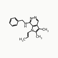 CC=Cn1c(C)c(C)c2cnnc(NCc3ccccc3)c21